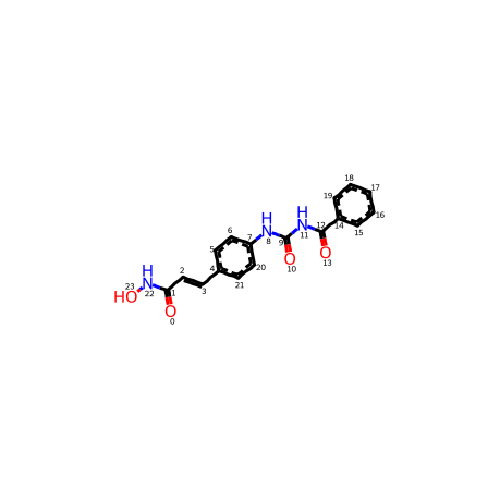 O=C(C=Cc1ccc(NC(=O)NC(=O)c2ccccc2)cc1)NO